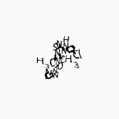 C[C@@H]1CN(c2scnc2-c2nc3cc(Cl)ccc3[nH]2)C[C@H](C)N1C(=O)Cn1cnc2cccnc21